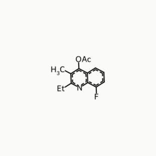 CCc1nc2c(F)cccc2c(OC(C)=O)c1C